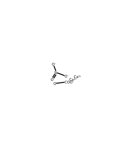 O=C([O-])[O-].O=[Si]([O-])[O-].[Ca+2].[Ca+2]